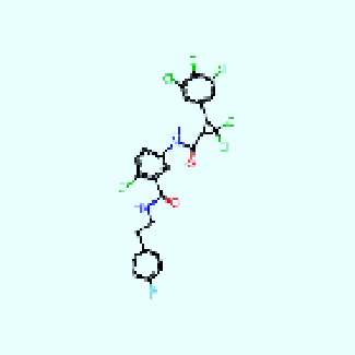 O=C(NCCc1ccc(F)cc1)c1cc(NC(=O)C2C(c3cc(Cl)c(Cl)c(Cl)c3)C2(Cl)Cl)ccc1Cl